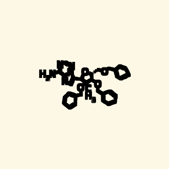 C[C@]1(OCc2ccccc2)C(c2cnc3c(N)ncnn23)O[C@H](COCc2ccccc2)[C@H]1OCc1ccccc1